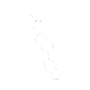 CCNC(=O)Nc1nc2cc(-c3ccc4nccn4c3)ccc2s1